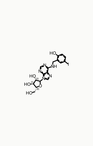 OC[C@H]1OC(n2cnc3c(NCc4cc(I)ccc4O)ncnc32)[C@@H](O)[C@@H]1O